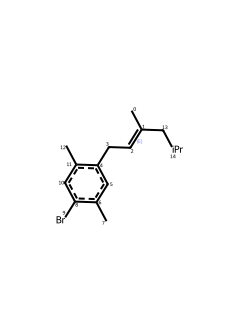 C/C(=C\Cc1cc(C)c(Br)cc1C)CC(C)C